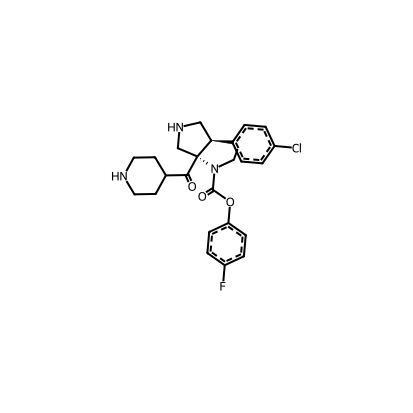 CCN(C(=O)Oc1ccc(F)cc1)[C@]1(C(=O)C2CCNCC2)CNC[C@H]1c1ccc(Cl)cc1